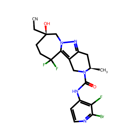 C[C@@H]1Cc2nn3c(c2CN1C(=O)Nc1ccnc(Br)c1F)C(F)(F)CC[C@](O)(CC#N)C3